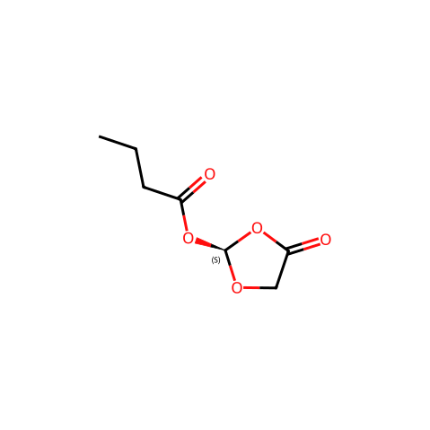 CCCC(=O)O[C@@H]1OCC(=O)O1